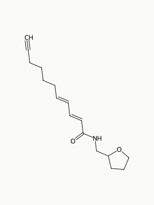 C#CCCCC/C=C/C=C/C(=O)NCC1CCCO1